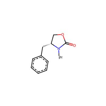 CC(C)N1C(=O)OC[C@H]1Cc1ccccc1